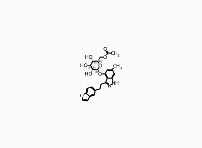 CC(=O)OC[C@H]1O[C@@H](Oc2cc(C)cc3[nH]nc(CCc4ccc5occc5c4)c23)[C@H](O)[C@@H](O)[C@@H]1O